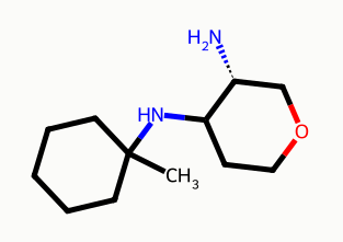 CC1(NC2CCOC[C@H]2N)CCCCC1